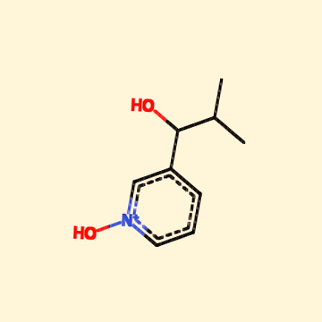 CC(C)C(O)c1ccc[n+](O)c1